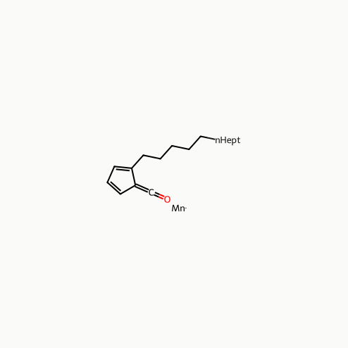 CCCCCCCCCCCCC1=CC=CC1=C=O.[Mn]